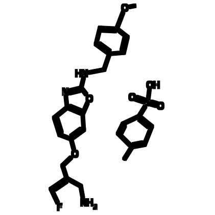 COc1ccc(CNc2nc3ccc(OC/C(=C/F)CN)cc3o2)cc1.Cc1ccc(S(=O)(=O)O)cc1